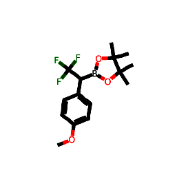 COc1ccc(C(B2OC(C)(C)C(C)(C)O2)C(F)(F)F)cc1